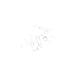 Cc1cc2c3c(c1)N(c1ccc4c(c1)C(C)(C)CCC4(C)C)c1c(oc4ccc(C(C)(C)C)cc14)B3c1cc(C(C)(C)C)ccc1/C2=C\c1cc2c(cc1-c1ccc(C(C)(C)C)cc1)C(C)(C)CCC2(C)C